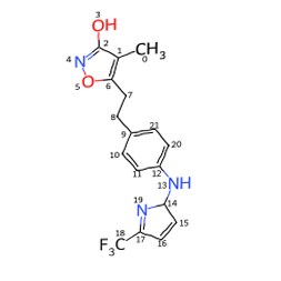 Cc1c(O)noc1CCc1ccc(NC2C=CC(C(F)(F)F)=N2)cc1